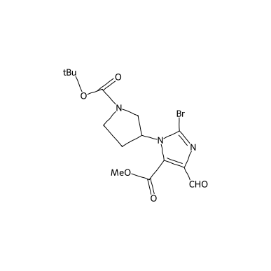 COC(=O)c1c(C=O)nc(Br)n1C1CCN(C(=O)OC(C)(C)C)C1